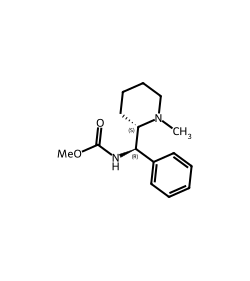 COC(=O)N[C@H](c1ccccc1)[C@@H]1CCCCN1C